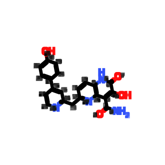 NC(=O)c1c(O)c(=O)[nH]c2ccc(Cc3cc(-c4ccc(O)cc4)ccn3)nc12